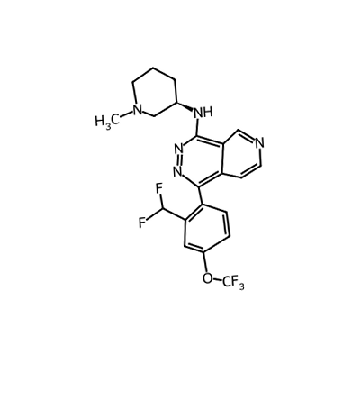 CN1CCC[C@@H](Nc2nnc(-c3ccc(OC(F)(F)F)cc3C(F)F)c3ccncc23)C1